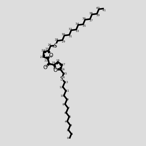 CCCCCCCCCCCCCCSCc1ccc(C(=O)c2ccc(CSCCCCCCCCCCCCCC)o2)o1